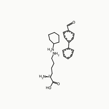 NC1CCCCC1.NCCCC[C@H](N)C(=O)O.O=Cc1ccc(-c2ccccc2)cc1